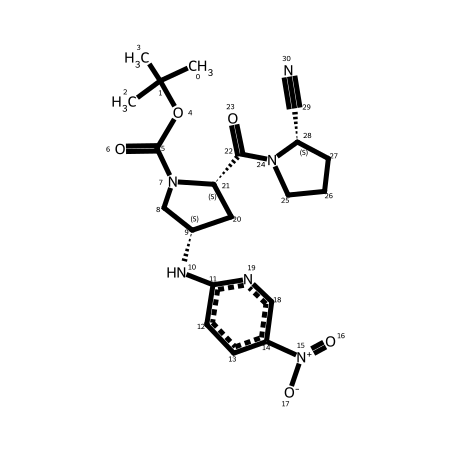 CC(C)(C)OC(=O)N1C[C@@H](Nc2ccc([N+](=O)[O-])cn2)C[C@H]1C(=O)N1CCC[C@H]1C#N